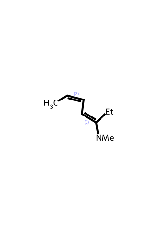 C/C=C\C=C(/CC)NC